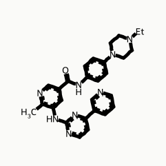 CCN1CCN(c2ccc(NC(=O)c3cnc(C)c(Nc4nccc(-c5cccnc5)n4)c3)cc2)CC1